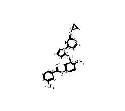 Cc1ccc(NC(=O)c2cccc(C(F)(F)F)c2)cc1Nc1nccn1-c1ccnc(NC2CC2)n1